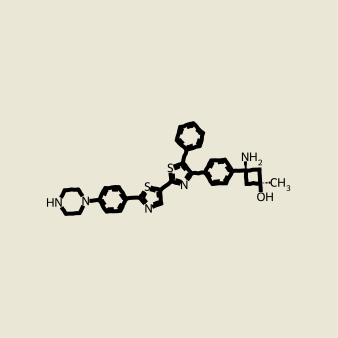 C[C@]1(O)C[C@](N)(c2ccc(-c3nc(-c4cnc(-c5ccc(N6CCNCC6)cc5)s4)sc3-c3ccccc3)cc2)C1